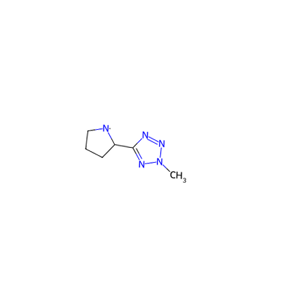 Cn1nnc(C2CCC[N]2)n1